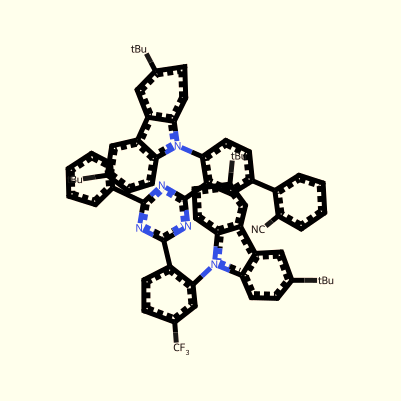 CC(C)(C)c1ccc2c(c1)c1cc(C(C)(C)C)ccc1n2-c1ccc(-c2ccccc2C#N)cc1-c1nc(-c2ccccc2)nc(-c2ccc(C(F)(F)F)cc2-n2c3ccc(C(C)(C)C)cc3c3cc(C(C)(C)C)ccc32)n1